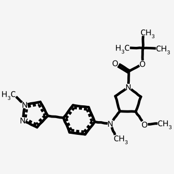 COC1CN(C(=O)OC(C)(C)C)CC1N(C)c1ccc(-c2cnn(C)c2)cc1